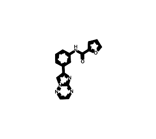 O=C(Nc1cccc(-c2cn3nccnc3n2)c1)c1ccco1